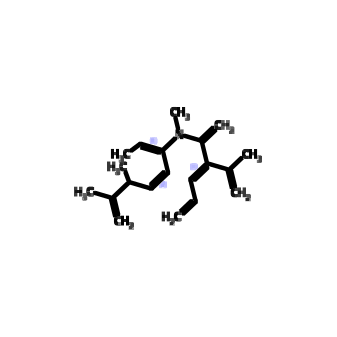 C=C/C=C(\C(=C)C)C(=C)N(C)C(/C=C\C(C)C(=C)C)=C/C